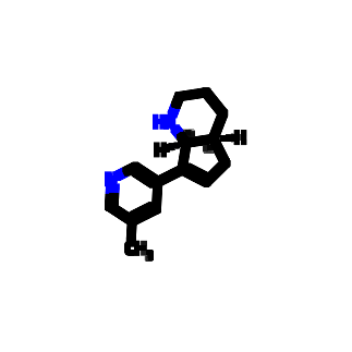 Cc1cncc(C2=CC[C@@H]3CCCN[C@H]23)c1